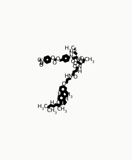 CSCC[C@H](NC(=O)[C@H](CC(C)C)NC(=O)CCC(=O)NCCCOC1CC[C@@]2(C)C(=CC[C@H]3[C@@H]4CC[C@H]([C@H](C)CCCC(C)C)[C@@]4(C)CC[C@@H]32)C1)C(=O)Nc1ccc(COC(=O)Oc2ccc([N+](=O)[O-])cc2)cc1